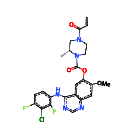 C=CC(=O)N1CCN(C(=O)Oc2cc3c(Nc4ccc(F)c(Cl)c4F)ncnc3cc2OC)[C@H](C)C1